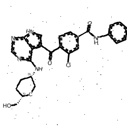 O=C(Nc1ccccc1)c1ccc(C(=O)c2c[nH]c3ncnc(N[C@H]4CC[C@@H](CO)OC4)c23)c(Cl)c1